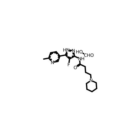 Cc1ccc(-c2[nH]nc(NC(=O)CCCN3CCCCC3)c2F)cn1.O=CO